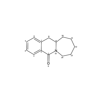 O=C1c2ccccc2CC2CCCCCN12